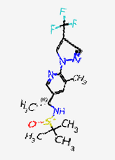 Cc1cc([C@@H](C)N[S+]([O-])C(C)(C)C)cnc1-n1cc(C(F)(F)F)cn1